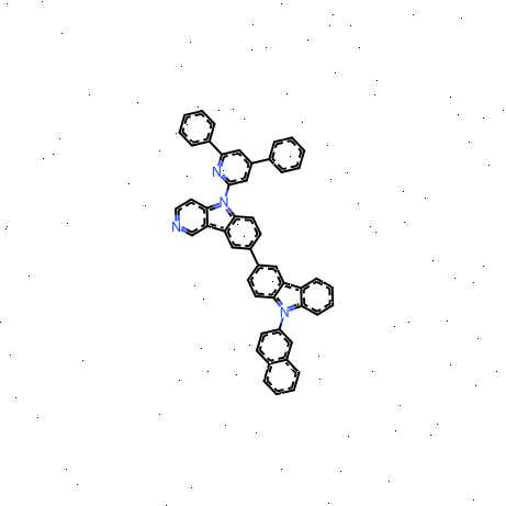 c1ccc(-c2cc(-c3ccccc3)nc(-n3c4ccncc4c4cc(-c5ccc6c(c5)c5ccccc5n6-c5ccc6ccccc6c5)ccc43)c2)cc1